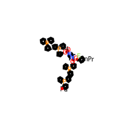 CCCc1ccc(COC(=O)N2[C@H](C)CN(C(=O)OC(C)(C)C)C[C@@H]2C)c(F)c1.[Pd].c1ccc(P(c2ccccc2)c2ccccc2)cc1.c1ccc(P(c2ccccc2)c2ccccc2)cc1.c1ccc(P(c2ccccc2)c2ccccc2)cc1.c1ccc(P(c2ccccc2)c2ccccc2)cc1